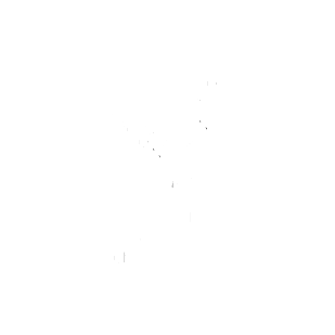 CS(=O)(=O)c1cccc(C(=O)N2CCC[C@@H]2C(=O)N[C@@H](c2ccc(Cl)cc2F)C2COC2)c1